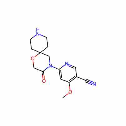 COc1cc(N2CC3(CCNCC3)OCC2=O)ncc1C#N